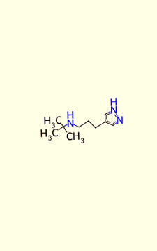 CC(C)(C)NCCCc1cn[nH]c1